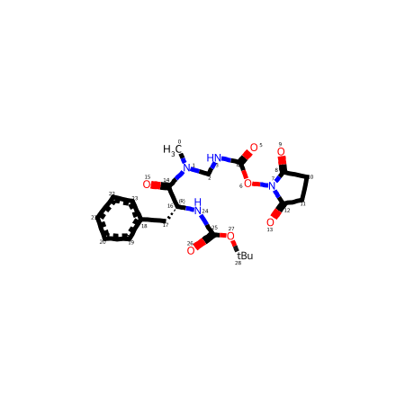 CN(CNC(=O)ON1C(=O)CCC1=O)C(=O)[C@@H](Cc1ccccc1)NC(=O)OC(C)(C)C